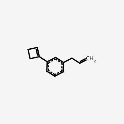 C=CCc1cccc(C2=CCC2)c1